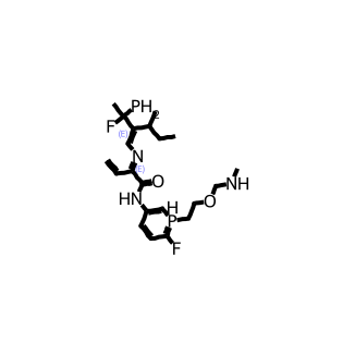 C=C/C(=N\C=C(/C(C)CC)C(C)(F)P)C(=O)NC1=C[PH](CCOCNC)=C(F)C=C1